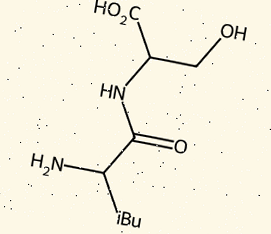 CCC(C)C(N)C(=O)NC(CO)C(=O)O